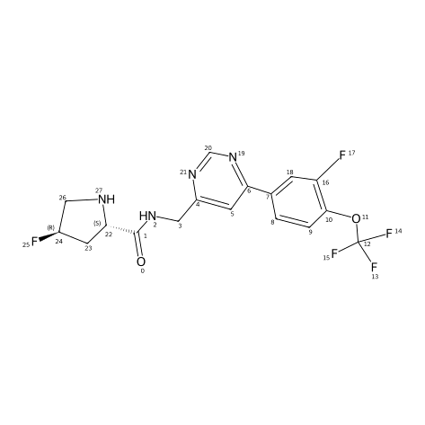 O=C(NCc1cc(-c2ccc(OC(F)(F)F)c(F)c2)ncn1)[C@@H]1C[C@@H](F)CN1